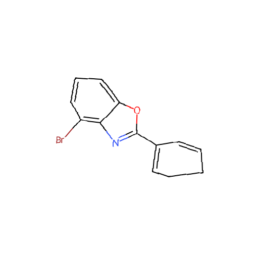 Brc1cccc2oc(C3=CCCC=C3)nc12